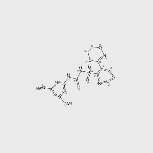 COc1cc(OC)nc(NC(=O)NS(=O)(=O)c2ncccc2C2=NOCCO2)n1